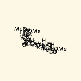 COC(=O)N[C@H](C(=O)N1CCC[C@H]1c1ncc(-c2ccc(-c3ccc(-c4[nH]c([C@@H]5CCCN5C(=O)[C@@H](NC(=O)OC)[C@@H](C)OC)c5c4COC5)cc3)cc2)[nH]1)C(C)C